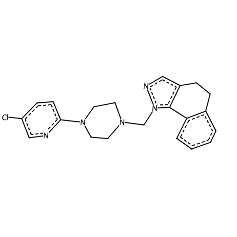 Clc1ccc(N2CCN(Cn3ncc4c3-c3ccccc3CC4)CC2)nc1